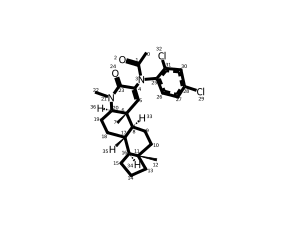 CC(=O)N(C1=C[C@]2(C)[C@H]3CC[C@]4(C)CCC[C@H]4[C@@H]3CC[C@H]2N(C)C1=O)c1ccc(Cl)cc1Cl